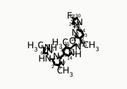 Cc1cc(Nc2cc(C)[nH]n2)nc(-c2cnc(C(=O)N[C@@H](C)c3ccc(-n4cc(F)cn4)nc3)c(C)c2)n1